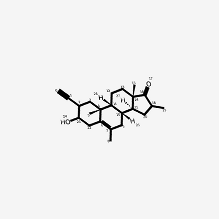 C#CC1C[C@@]2(C)C(=C(C)C[C@@H]3[C@H]2CC[C@]2(C)C(=O)C(C)C[C@@H]32)CC1O